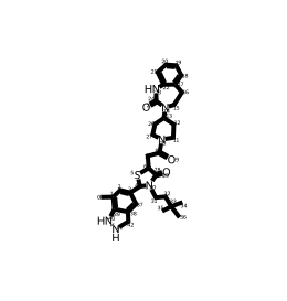 Cc1cc(C2SC(CC(=O)N3CCC(N4CCc5ccccc5NC4=O)CC3)C(=O)N2CCC(C)(C)C)cc2c1NNC2